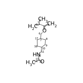 C=C(C)C(=C)OCC1CCC(CNC(C)=O)CC1